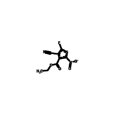 CCOC(=O)c1c([N+](=O)[O-])sc(F)c1C#N